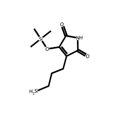 C[Si](C)(C)OC1=C(CCC[SiH3])C(=O)NC1=O